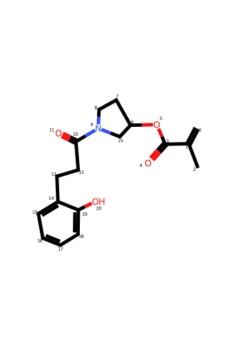 C=C(C)C(=O)OC1CCN(C(=O)CCc2ccccc2O)C1